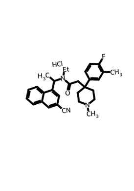 CCN(C(=O)CC1(c2ccc(F)c(C)c2)CCN(C)CC1)C(C)c1cc(C#N)cc2ccccc12.Cl